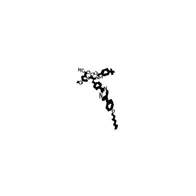 CCCCCCCOc1ccc(-c2cnc(-c3ccc(C[C@H](NC(=O)c4ccc(C(C)(C)C)cc4)C(=O)N4CC(OC)CC4C(=O)O)cc3)nc2)cc1